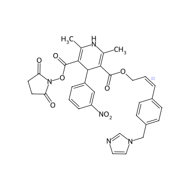 CC1=C(C(=O)OC/C=C\c2ccc(Cn3ccnc3)cc2)C(c2cccc([N+](=O)[O-])c2)C(C(=O)ON2C(=O)CCC2=O)=C(C)N1